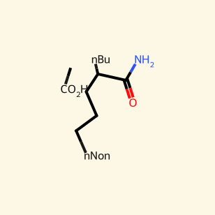 CC(=O)O.CCCCCCCCCCCCC(CCCC)C(N)=O